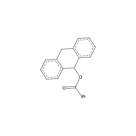 CC(C)C(=O)OC1c2ccccc2Cc2ccccc21